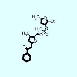 CC[C@H]1O[C@@H](C)C[C@@H]1O[P@@](C)(=O)OC[C@H]1O[C@@H](CC(=O)c2ccccc2)C[C@@H]1C